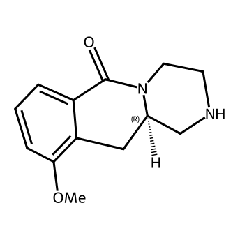 COc1cccc2c1C[C@@H]1CNCCN1C2=O